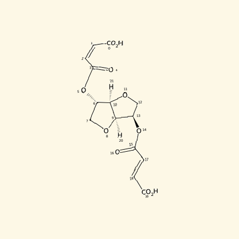 O=C(O)/C=C\C(=O)O[C@H]1CO[C@H]2[C@@H]1OC[C@H]2OC(=O)/C=C/C(=O)O